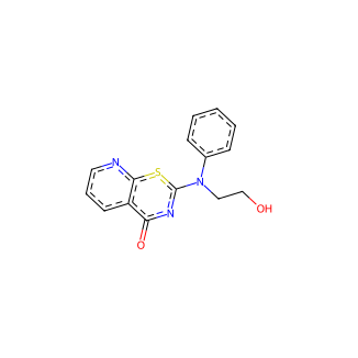 O=c1nc(N(CCO)c2ccccc2)sc2ncccc12